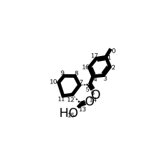 Cc1ccc(C(=O)[C@H]2CCCC[C@H]2C(=O)O)cc1